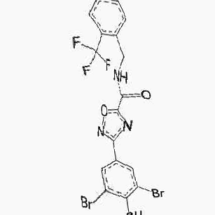 O=C(NCc1ccccc1C(F)(F)F)c1nc(-c2cc(Br)c(O)c(Br)c2)no1